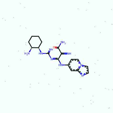 N=C(/N=C(/Nc1ccn2ccnc2c1)C(=N)C(N)=O)N[C@@H]1CCCC[C@@H]1N